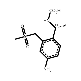 C[C@@H](NC(=O)O)c1ccc(N)cc1CS(C)(=O)=O